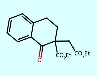 CCOC(=O)CC1(C(=O)OCC)CCc2ccccc2C1=O